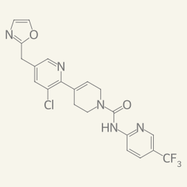 O=C(Nc1ccc(C(F)(F)F)cn1)N1CC=C(c2ncc(Cc3ncco3)cc2Cl)CC1